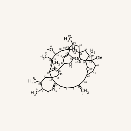 C=C1CCCC2=NCC(C)C(C)CC23CCC(C2C=C(C)C(=O)O2)=C(C)C3/C=C(\C)C(O)CC2OC3(CCC4(OC(CCC4(C)O)C1)O3)CC2C